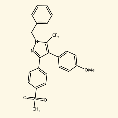 COc1ccc(-c2c(-c3ccc(S(C)(=O)=O)cc3)nn(Cc3ccccc3)c2C(F)(F)F)cc1